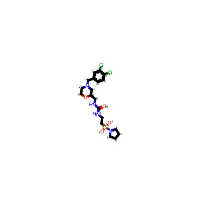 O=C(NCCS(=O)(=O)N1CCCC1)NCC1CN(Cc2ccc(Cl)c(Cl)c2)CCO1